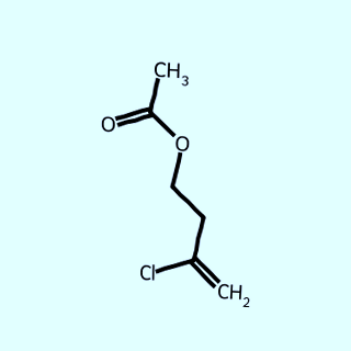 C=C(Cl)CCOC(C)=O